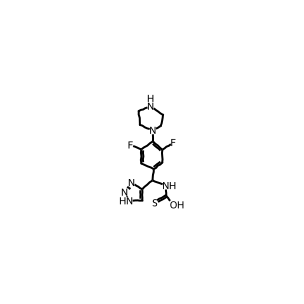 OC(=S)NC(c1cc(F)c(N2CCNCC2)c(F)c1)c1c[nH]nn1